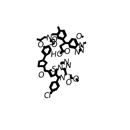 COC(=O)C[C@@H]1N=C(c2ccc(Cl)cc2)c2cc(C(=O)C3CCC(c4ccc5c(c4)OC(C)CN(Cc4cc(C(CC(=O)O)c6cc(OC)c7c(c6)nnn7C)ccc4C)S5(=O)=O)C3)sc2-n2cnnc21